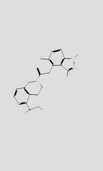 C[C@H]1c2cccc([C@](C)(O)CF)c2CCN1C(=O)Cc1c(Cl)ccc2c1c(Cl)nn2C